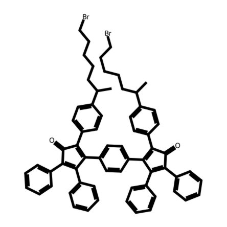 CC(CCCCCBr)c1ccc(C2=C(c3ccc(C4=C(c5ccc(C(C)CCCCCBr)cc5)C(=O)C(c5ccccc5)=C4c4ccccc4)cc3)C(c3ccccc3)=C(c3ccccc3)C2=O)cc1